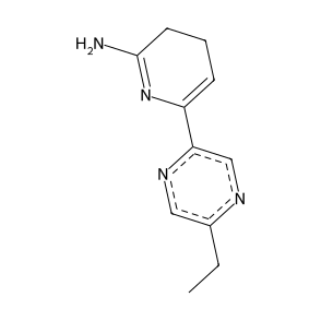 CCc1cnc(C2=CCCC(N)=N2)cn1